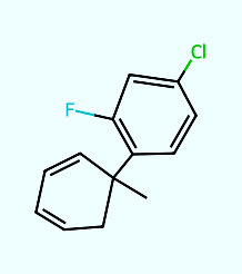 CC1(c2ccc(Cl)cc2F)C=CC=CC1